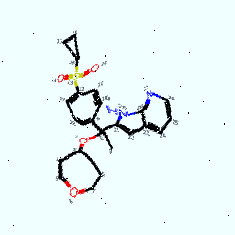 CC(OC1CCOCC1)(c1ccc(S(=O)(=O)C2CC2)cc1)c1cc2cccnc2[nH]1